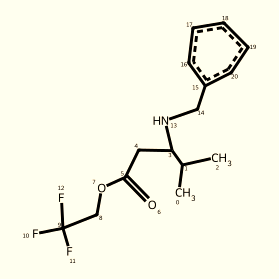 CC(C)C(CC(=O)OCC(F)(F)F)NCc1ccccc1